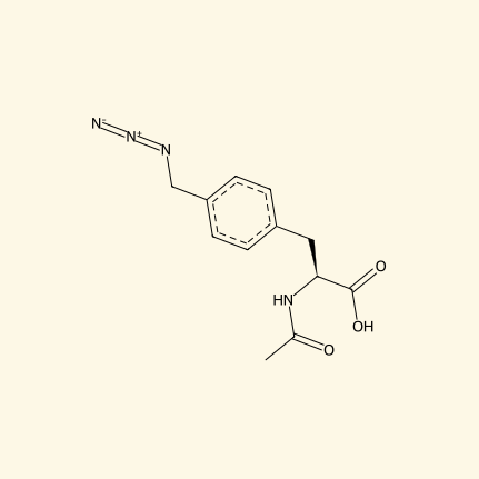 CC(=O)N[C@@H](Cc1ccc(CN=[N+]=[N-])cc1)C(=O)O